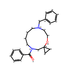 O=C(c1ccccc1)N1CCCCN(Cc2ccccc2)CCOC2(CC2)C1